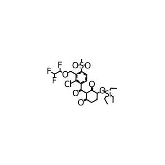 CC[Si](CC)(CC)OC1CCC(=O)C(C(=O)c2ccc(S(C)(=O)=O)c(COC(F)C(F)F)c2Cl)C1=O